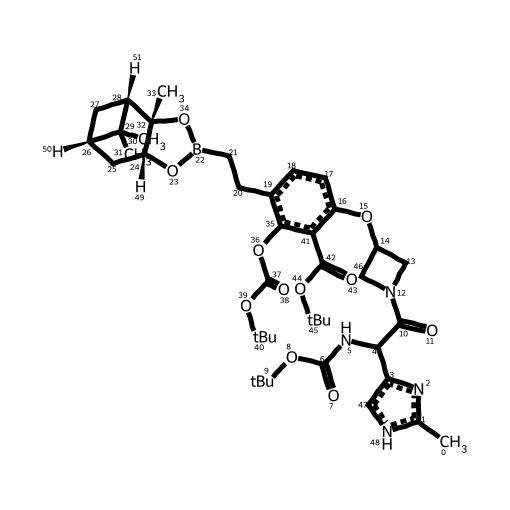 Cc1nc(C(NC(=O)OC(C)(C)C)C(=O)N2CC(Oc3ccc(CCB4O[C@@H]5C[C@@H]6C[C@@H](C6(C)C)[C@]5(C)O4)c(OC(=O)OC(C)(C)C)c3C(=O)OC(C)(C)C)C2)c[nH]1